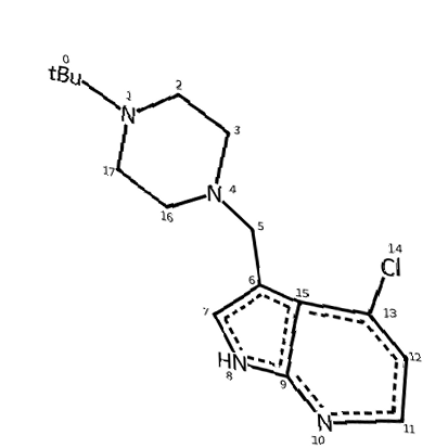 CC(C)(C)N1CCN(Cc2c[nH]c3nccc(Cl)c23)CC1